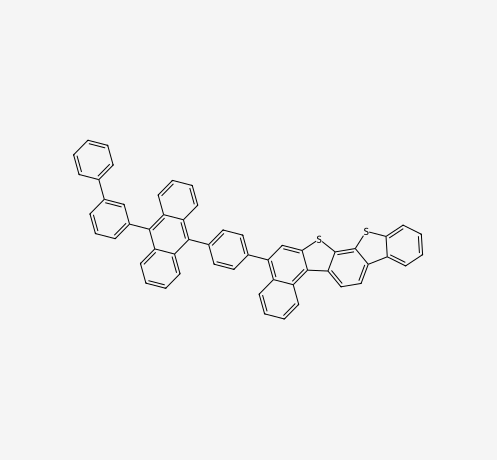 c1ccc(-c2cccc(-c3c4ccccc4c(-c4ccc(-c5cc6sc7c(ccc8c9ccccc9sc87)c6c6ccccc56)cc4)c4ccccc34)c2)cc1